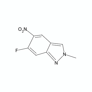 Cn1cc2cc([N+](=O)[O-])c(F)cc2n1